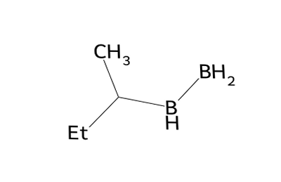 BBC(C)CC